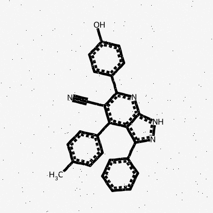 Cc1ccc(-c2c(C#N)c(-c3ccc(O)cc3)nc3[nH]nc(-c4ccccc4)c23)cc1